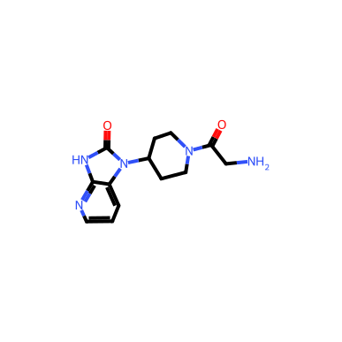 NCC(=O)N1CCC(n2c(=O)[nH]c3ncccc32)CC1